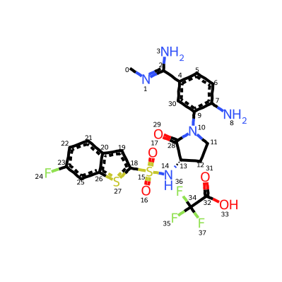 CN=C(N)c1ccc(N)c(N2CC[C@H](NS(=O)(=O)c3cc4ccc(F)cc4s3)C2=O)c1.O=C(O)C(F)(F)F